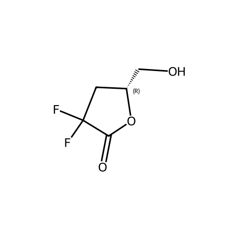 O=C1O[C@@H](CO)CC1(F)F